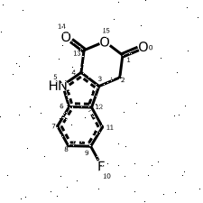 O=C1Cc2c([nH]c3ccc(F)cc23)C(=O)O1